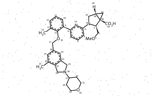 COC[C@H]1N(c2cccc(-c3cccc(C)c3OCc3cc(C)c4c(c3)CN(C3CCOCC3)C4)n2)C[C@@H]2C[C@@]21C(=O)O